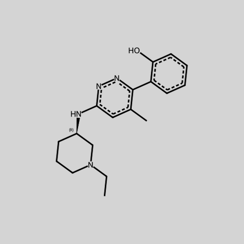 CCN1CCC[C@@H](Nc2cc(C)c(-c3ccccc3O)nn2)C1